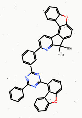 CC(C)(C)C1(C)c2ccc3oc4ccccc4c3c2-c2ccc(-c3cccc(-c4nc(-c5ccccc5)nc(-c5cccc6oc7ccccc7c56)n4)c3)nc21